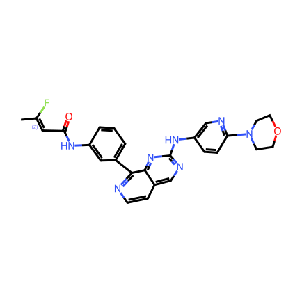 C/C(F)=C/C(=O)Nc1cccc(-c2nccc3cnc(Nc4ccc(N5CCOCC5)nc4)nc23)c1